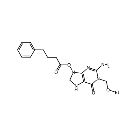 CCOCn1c(N)nc2c(c1=O)NCN2OC(=O)CCCc1ccccc1